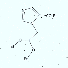 CCOC(=O)c1cncn1CC(OCC)OCC